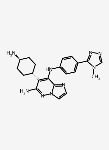 Cn1cnnc1-c1ccc(Nc2c3nccn3nc(N)c2[C@H]2CC[C@H](N)CC2)cc1